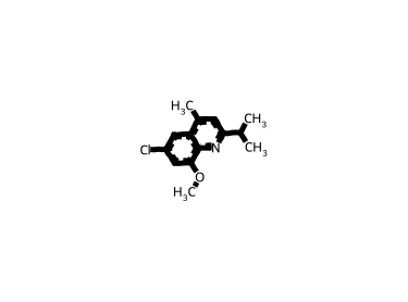 COc1cc(Cl)cc2c(C)cc(C(C)C)nc12